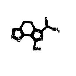 CSc1sc(C(N)=S)c2c1-c1oncc1CC2